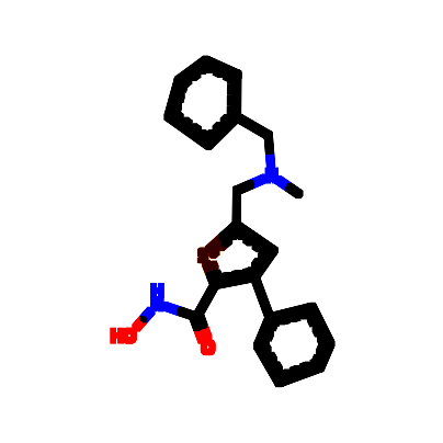 CN(Cc1ccccc1)Cc1cc(-c2ccccc2)c(C(=O)NO)s1